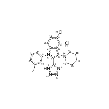 Cc1cccc(-n2c(-c3nnn[nH]3)c(N3CCCCC3)c3c(Cl)c(Cl)ccc32)c1